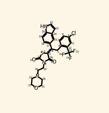 O=C1S/C(=C(/Cc2ccc(Cl)cc2C(F)(F)F)c2ccc3[nH]ccc3c2)C(=O)N1CCN1CCOCC1